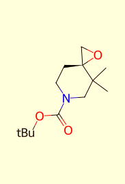 CC(C)(C)OC(=O)N1CC[C@]2(CO2)C(C)(C)C1